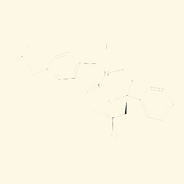 CC(=O)C[C@]1(c2ccccc2)CCN([C@@H](C)c2ccc(OC(F)F)cc2)C(=O)O1